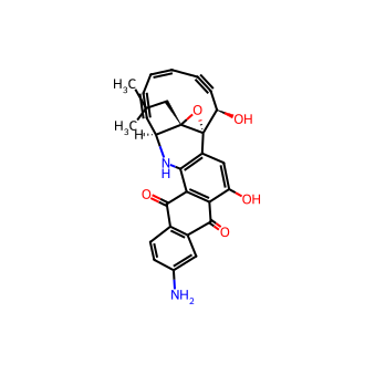 CC(C)C[C@@]12O[C@]13c1cc(O)c4c(c1N[C@H]2C#C/C=C\C#C[C@H]3O)C(=O)c1ccc(N)cc1C4=O